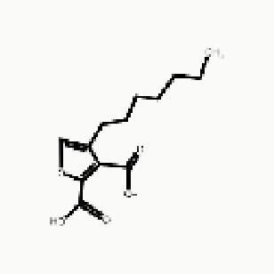 CCCCCCCc1coc(C(=O)O)c1C(=O)O